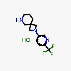 Cl.FC(F)(F)c1ccc(N2CC3(CCCNC3)C2)cn1